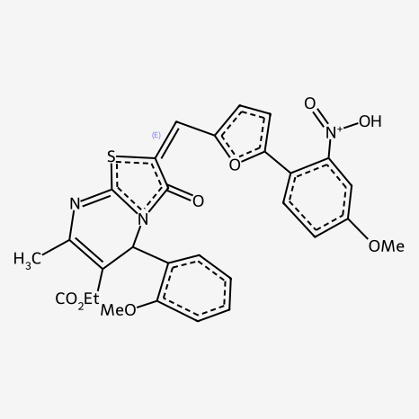 CCOC(=O)C1=C(C)N=c2s/c(=C/c3ccc(-c4ccc(OC)cc4[N+](=O)O)o3)c(=O)n2C1c1ccccc1OC